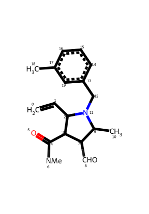 C=CC1C(C(=O)NC)C(C=O)C(C)N1Cc1cccc(C)c1